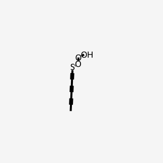 CC#CC#CC#CSOOO